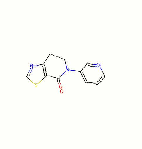 O=C1c2scnc2CCN1c1cccnc1